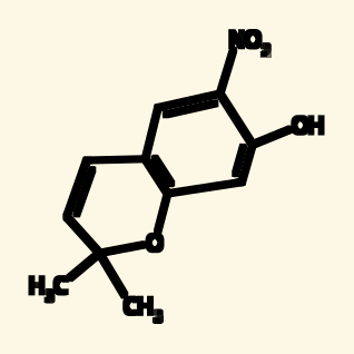 CC1(C)C=Cc2cc([N+](=O)[O-])c(O)cc2O1